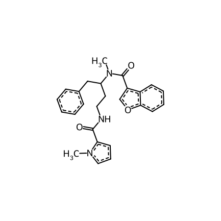 CN(C(=O)c1coc2ccccc12)C(CCNC(=O)c1cccn1C)Cc1ccccc1